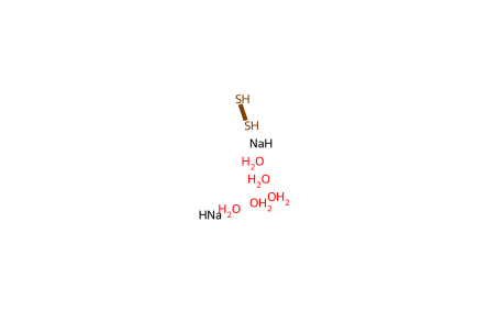 O.O.O.O.O.SS.[NaH].[NaH]